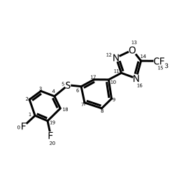 Fc1ccc(Sc2[c]ccc(-c3noc(C(F)(F)F)n3)c2)cc1F